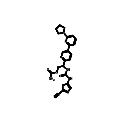 C#Cc1ncc(NC(=O)NC(COC(N)=O)c2ccc(-c3cccc(N4CCCC4)n3)cn2)s1